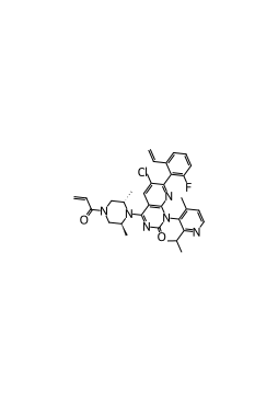 C=CC(=O)N1C[C@H](C)N(c2nc(=O)n(-c3c(C)ccnc3C(C)C)c3nc(-c4c(F)cccc4C=C)c(Cl)cc23)[C@@H](C)C1